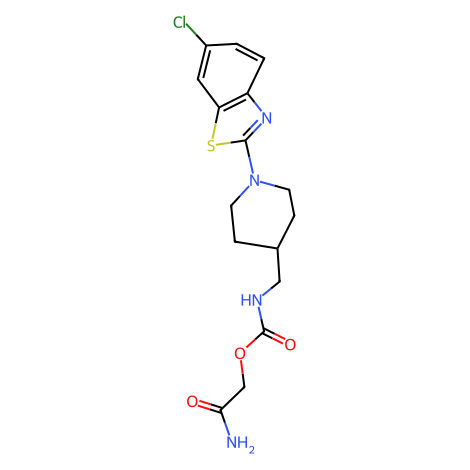 NC(=O)COC(=O)NCC1CCN(c2nc3ccc(Cl)cc3s2)CC1